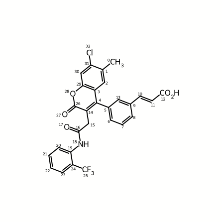 Cc1cc2c(-c3cccc(/C=C/C(=O)O)c3)c(CC(=O)Nc3ccccc3C(F)(F)F)c(=O)oc2cc1Cl